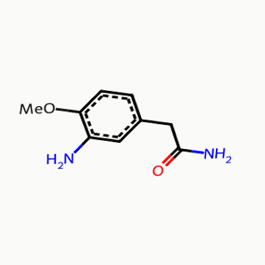 COc1ccc(CC(N)=O)cc1N